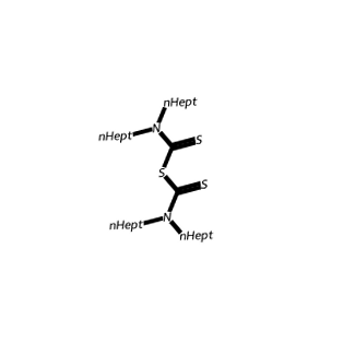 CCCCCCCN(CCCCCCC)C(=S)SC(=S)N(CCCCCCC)CCCCCCC